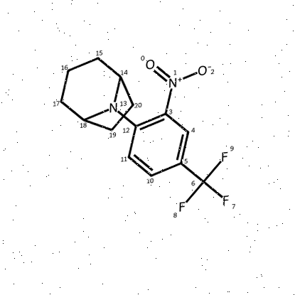 O=[N+]([O-])c1cc(C(F)(F)F)ccc1N1C2CCCC1CC2